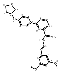 COc1cc(/C=N/NC(=O)c2nccc(-c3ccc(OC4CCCC4)cc3)n2)cc(OC)c1